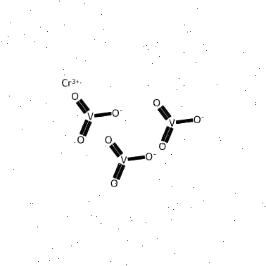 [Cr+3].[O]=[V](=[O])[O-].[O]=[V](=[O])[O-].[O]=[V](=[O])[O-]